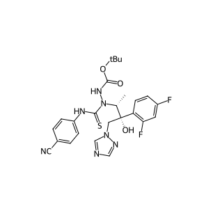 C[C@@H](N(NC(=O)OC(C)(C)C)C(=S)Nc1ccc(C#N)cc1)[C@](O)(Cn1cncn1)c1ccc(F)cc1F